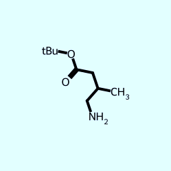 CC(CN)CC(=O)OC(C)(C)C